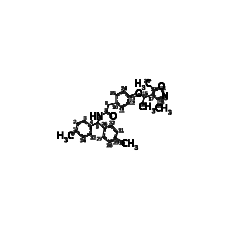 Cc1ccc(C(NC(=O)Cc2ccc(OC(C)c3c(C)noc3C)cc2)c2ccc(C)cc2)cc1